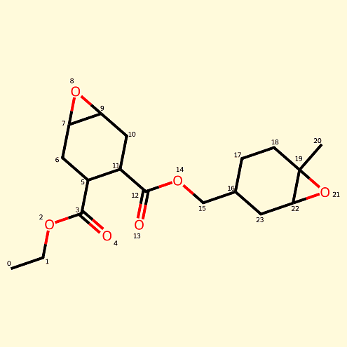 CCOC(=O)C1CC2OC2CC1C(=O)OCC1CCC2(C)OC2C1